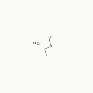 CC[O][Ti+2].[Cl-].[Cl-]